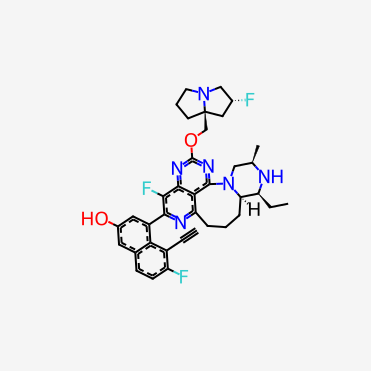 C#Cc1c(F)ccc2cc(O)cc(-c3nc4c5c(nc(OC[C@@]67CCCN6C[C@H](F)C7)nc5c3F)N3C[C@@H](C)N[C@@H](CC)[C@H]3CCC4)c12